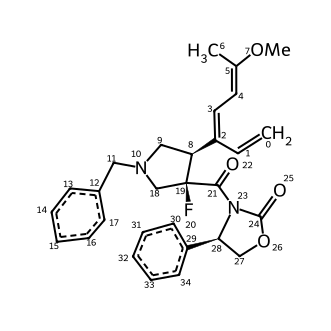 C=C/C(=C\C=C(/C)OC)[C@@H]1CN(Cc2ccccc2)C[C@@]1(F)C(=O)N1C(=O)OC[C@H]1c1ccccc1